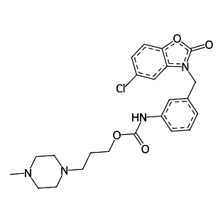 CN1CCN(CCCOC(=O)Nc2cccc(Cn3c(=O)oc4ccc(Cl)cc43)c2)CC1